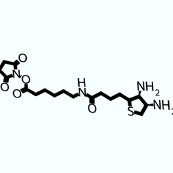 N[C@@H]1C(CCCC(=O)NCCCCCC(=O)ON2C(=O)CCC2=O)SC[C@@H]1N